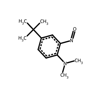 CN(C)c1ccc(C(C)(C)C)cc1N=O